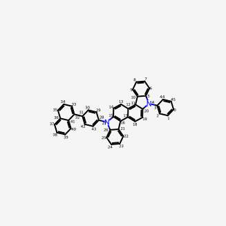 c1ccc(-n2c3ccccc3c3c4ccc5c(c4ccc32)c2ccccc2n5-c2ccc(-c3cccc4ccccc34)cc2)cc1